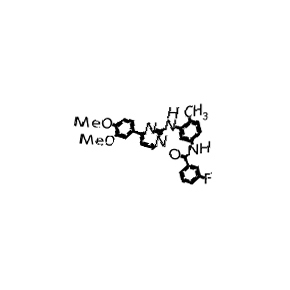 COc1ccc(-c2ccnc(Nc3cc(NC(=O)c4cccc(F)c4)ccc3C)n2)cc1OC